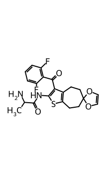 CC(N)C(=O)Nc1sc2c(c1C(=O)c1c(F)cccc1F)CCC1(CC2)OC=CO1